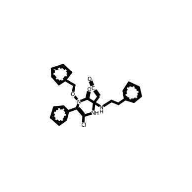 O=C=CC1(NCCc2ccccc2)NC(Cl)=C(c2ccccc2)N(OCc2ccccc2)C1=O